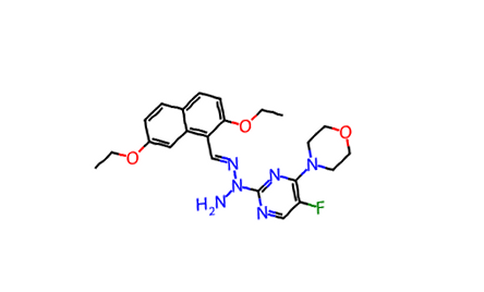 CCOc1ccc2ccc(OCC)c(/C=N/N(N)c3ncc(F)c(N4CCOCC4)n3)c2c1